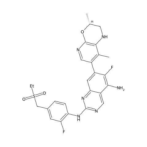 CCS(=O)(=O)Cc1ccc(Nc2ncc3c(N)c(F)c(-c4cnc5c(c4C)NC[C@@H](C)O5)cc3n2)c(F)c1